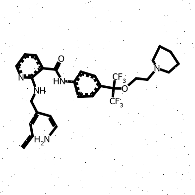 C=C/C=C(\C=C/N)CNc1ncccc1C(=O)Nc1ccc(C(OCCN2CCCCC2)(C(F)(F)F)C(F)(F)F)cc1